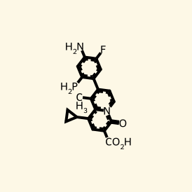 Cc1c(-c2cc(F)c(N)cc2P)ccn2c(=O)c(C(=O)O)cc(C3CC3)c12